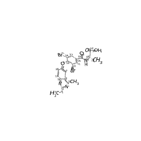 CCc1nc(C)c2cc(Oc3c(Br)cc(C(=O)N[C@@H](C)C(=O)O)cc3Br)ccc2n1